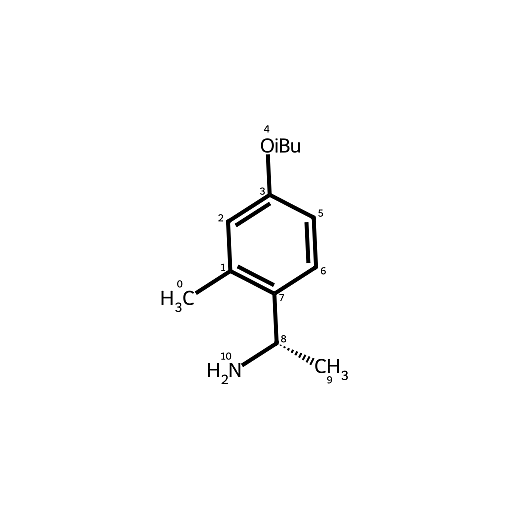 Cc1cc(OCC(C)C)ccc1[C@H](C)N